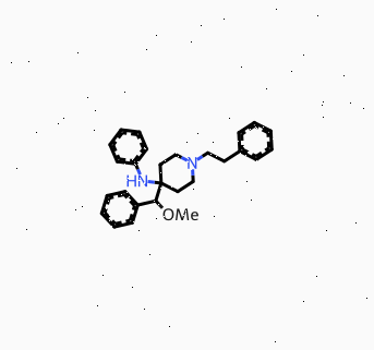 COC(c1ccccc1)C1(Nc2ccccc2)CCN(CCc2ccccc2)CC1